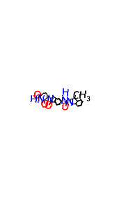 CC1CN(C(=O)Nc2ccc3c(c2)CN(C2CCC(=O)NC2=O)C3=O)Cc2ccccc21